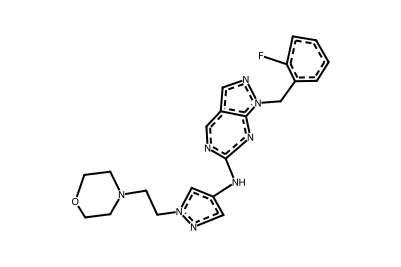 Fc1ccccc1Cn1ncc2cnc(Nc3cnn(CCN4CCOCC4)c3)nc21